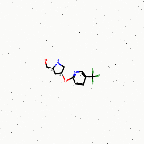 OC[C@@H]1C[C@H](Oc2ccc(C(F)(F)F)cn2)CN1